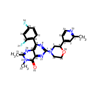 Cc1cc(C2CN(c3nc(-c4ccc(F)cc4F)c4nc(C)n(C)c(=O)c4n3)CCO2)ccn1